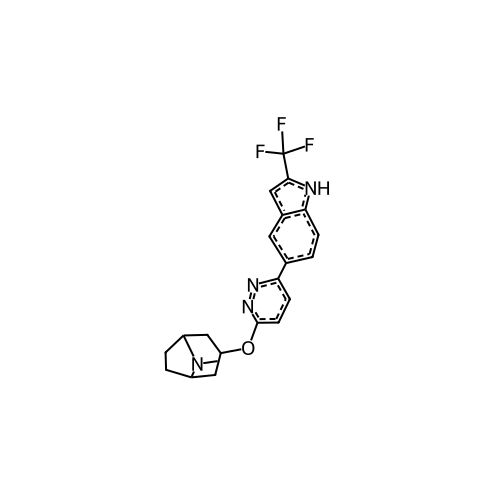 CN1C2CCC1CC(Oc1ccc(-c3ccc4[nH]c(C(F)(F)F)cc4c3)nn1)C2